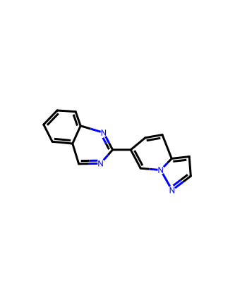 c1ccc2nc(-c3ccc4ccnn4c3)ncc2c1